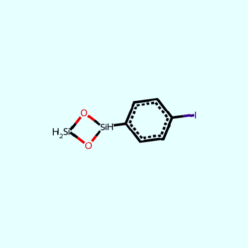 Ic1ccc([SiH]2O[SiH2]O2)cc1